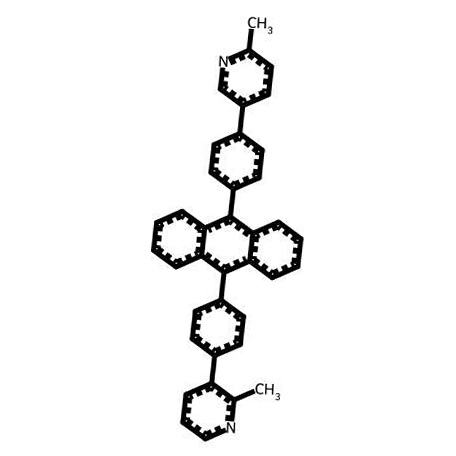 Cc1ccc(-c2ccc(-c3c4ccccc4c(-c4ccc(-c5cccnc5C)cc4)c4ccccc34)cc2)cn1